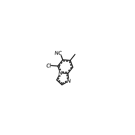 Cc1cc2nccn2c(Cl)c1C#N